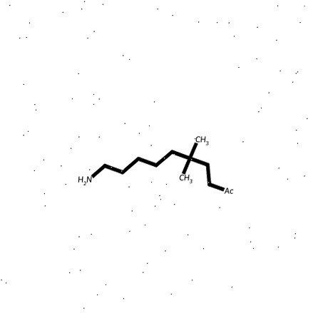 CC(=O)CCC(C)(C)CCCCCN